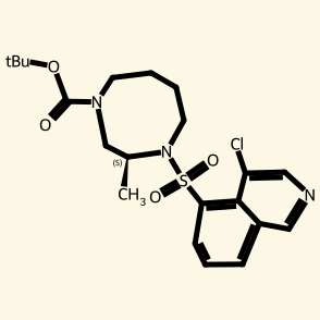 C[C@H]1CN(C(=O)OC(C)(C)C)CCCCN1S(=O)(=O)c1cccc2cncc(Cl)c12